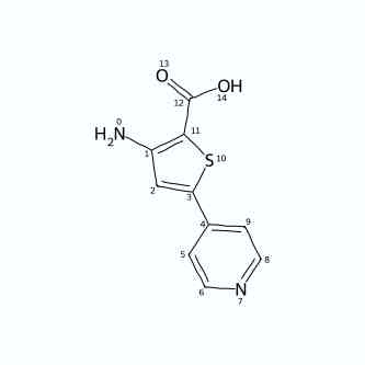 Nc1cc(-c2ccncc2)sc1C(=O)O